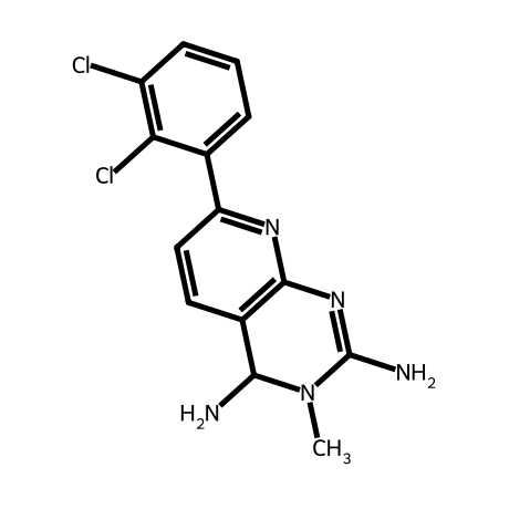 CN1C(N)=Nc2nc(-c3cccc(Cl)c3Cl)ccc2C1N